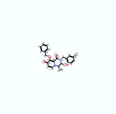 CC(C)C1C(O)N(Cc2cccc(Cl)c2)C(=O)c2c(OCc3ccccc3)c(=O)ccn21